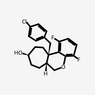 O[C@@H]1CC[C@H]2COc3c(F)ccc(F)c3[C@@]2(Cc2ccc(Cl)cc2)CC1